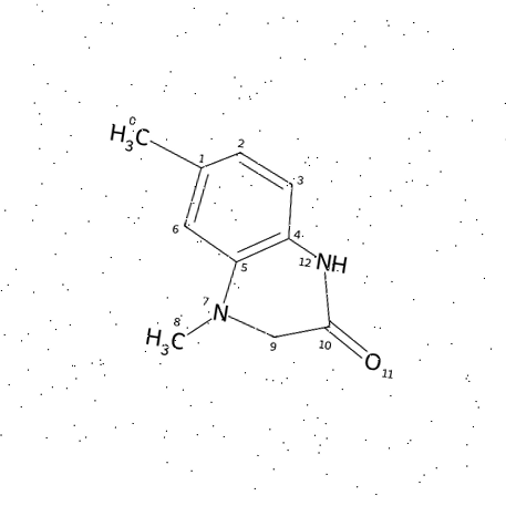 Cc1ccc2c(c1)N(C)CC(=O)N2